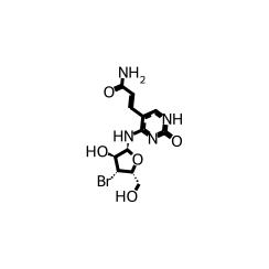 NC(=O)C=Cc1c[nH]c(=O)nc1N[C@@H]1O[C@H](CO)[C@H](Br)[C@H]1O